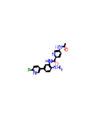 CC(=O)Nc1ccc(C(=O)Nc2cc(-c3ccc(F)nc3)ccc2N)nc1